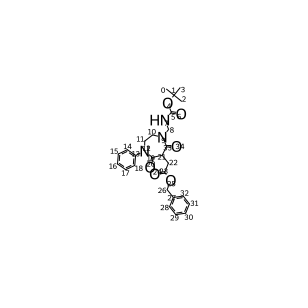 CC(C)(C)OC(=O)NCN1CCN(c2ccccc2)C(=O)C(CC(=O)OCc2ccccc2)C1=O